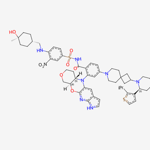 CC(C)c1sccc1[C@@H]1CCCCN1C1CC2(CCN(c3ccc(C(=O)NS(=O)(=O)c4ccc(NC[C@H]5CC[C@](C)(O)CC5)c([N+](=O)[O-])c4)c(N4c5cc6cc[nH]c6nc5O[C@H]5COCC[C@@H]54)c3)CC2)C1